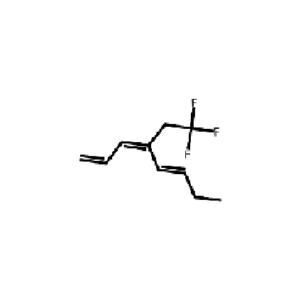 C=C/C=C(\C=C\CC)CC(F)(F)F